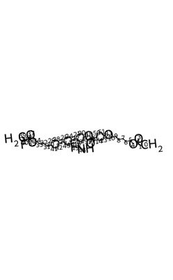 C=CC(=O)OCCCCCCOc1ccc(C(=O)Oc2ccc(-c3ccc(-c4ccc(CCCCOC(=O)C(=C)F)cc4)cc3F)c(C=N)c2)cc1